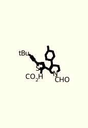 CC1CCC(C2=C(c3cc(C#CC(C)(C)C)sc3C(=O)O)CN(C=O)CC2)CC1